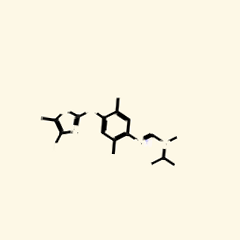 Cc1cc(Oc2nc(Cl)c(Cl)s2)c(C)cc1/N=C/N(C)C(C)C